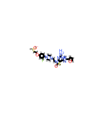 C[S@@+]([O-])CCOc1ccc(N2CCN(CCn3c(=O)sc4c3nc(N)n3nc(-c5ccco5)nc43)CC2)c(F)c1